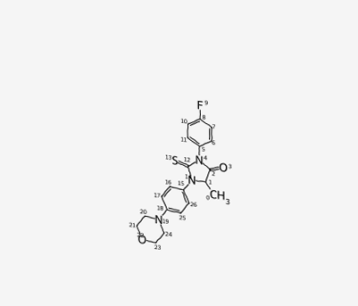 CC1C(=O)N(c2ccc(F)cc2)C(=S)N1c1ccc(N2CCOCC2)cc1